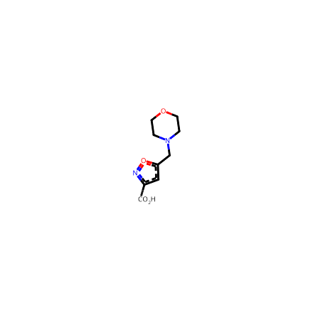 O=C(O)c1cc(CN2CCOCC2)on1